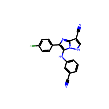 N#Cc1cccc(Nc2c(-c3ccc(Cl)cc3)nc3c(C#N)c[nH]n23)c1